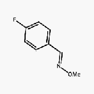 CON=Cc1[c]cc(F)cc1